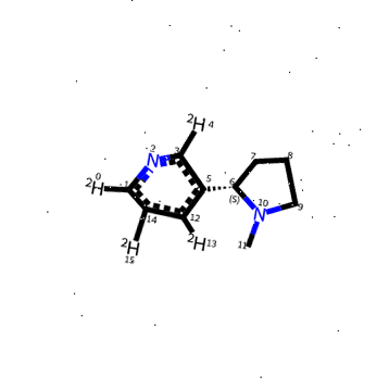 [2H]c1nc([2H])c([C@@H]2CCCN2C)c([2H])c1[2H]